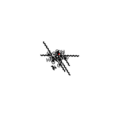 CCCCCCCCCCC[C@H](CC(=O)N[C@H]1[C@H](OC[C@H](NC(=O)C[C@@H](CCCCCCCCCCC)OC(=O)CCCCCC)C(=O)O)O[C@H](CO)[C@@H](OP(=O)(O)O)[C@@H]1OC(=O)C[C@@H](CCCCCCCCCCC)OC(=O)CCCCCC)OC(=O)CCCCCC.CCN(CC)CC